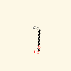 CCCCCCCCCCCCCCCCCCOC=CO